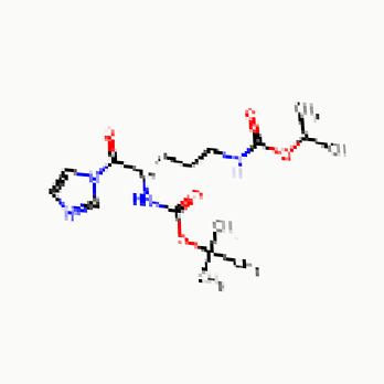 CC(C)OC(=O)NCCC[C@H](NC(=O)OC(C)(C)C)C(=O)n1ccnc1